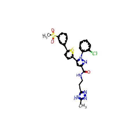 Cc1nnc(CCNC(=O)c2cc(-c3ccc(-c4cccc(S(C)(=O)=O)c4)s3)n(-c3ccccc3Cl)n2)[nH]1